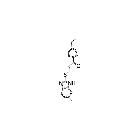 CCc1ccc(C(=O)C=CSc2nc3ccc(C)cc3[nH]2)cc1